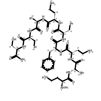 CC[C@H](C)[C@H](NC(=O)[C@H](CCN)NC(C)=O)C(=O)N[C@@H](CCN)C(=O)N[C@H](Cc1ccccc1)C(=O)N[C@@H](CC(C)C)C(=O)N[C@@H](CCN)C(=O)N[C@@H](C(=O)N[C@@H](CC(C)C)C(=O)N[C@@H](CO)C(N)=O)C(C)C